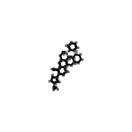 CCc1cc2c(=O)c(-c3nc(C)cs3)coc2c(CN2CCC[C@@H](c3cccnc3)C2)c1O